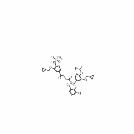 CS(=O)(=O)Nc1ccc(C(=O)SCC(=O)O[C@@H](Cc2c(Cl)cncc2Cl)c2ccc(OC(F)F)c(OCC3CC3)c2)cc1OCC1CC1